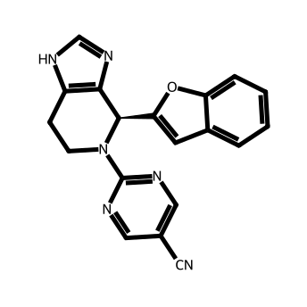 N#Cc1cnc(N2CCc3[nH]cnc3[C@H]2c2cc3ccccc3o2)nc1